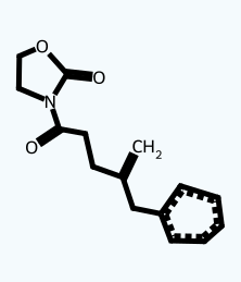 C=C(CCC(=O)N1CCOC1=O)Cc1ccccc1